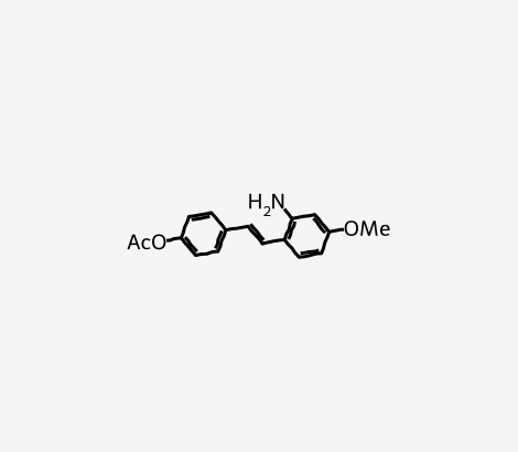 COc1ccc(/C=C/c2ccc(OC(C)=O)cc2)c(N)c1